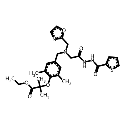 CCOC(=O)C(C)(C)Oc1c(C)cc(CN(CC(=O)NNC(=O)c2cccs2)Cc2ncco2)cc1C